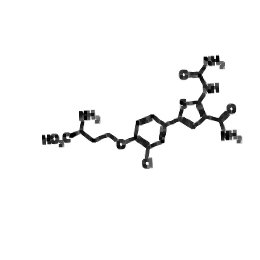 NC(=O)Nc1sc(-c2ccc(OCC[C@H](N)C(=O)O)c(Cl)c2)cc1C(N)=O